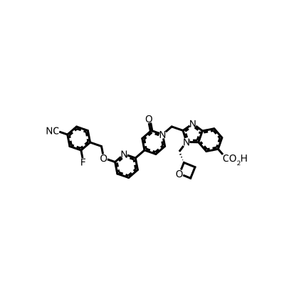 N#Cc1ccc(COc2cccc(-c3ccn(Cc4nc5ccc(C(=O)O)cc5n4C[C@@H]4CCO4)c(=O)c3)n2)c(F)c1